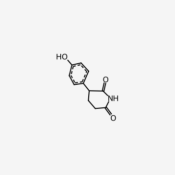 O=C1CCC(c2ccc(O)cc2)C(=O)N1